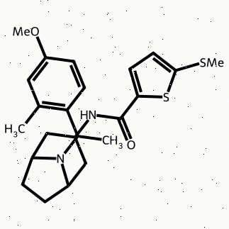 COc1ccc(C(C)N2C3CCC2CC(NC(=O)c2ccc(SC)s2)C3)c(C)c1